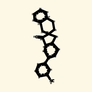 [C-]#[N+]c1cccc(-c2ccc3c(c2)C(=O)C2(CCc4ccccc4C2)C3)c1